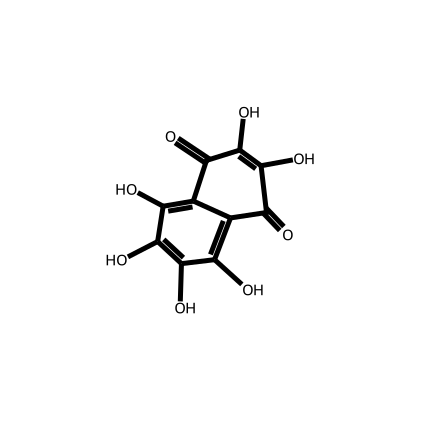 O=C1C(O)=C(O)C(=O)c2c(O)c(O)c(O)c(O)c21